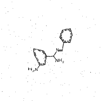 Nc1cccc(C(N)/N=C/c2ccccc2)c1